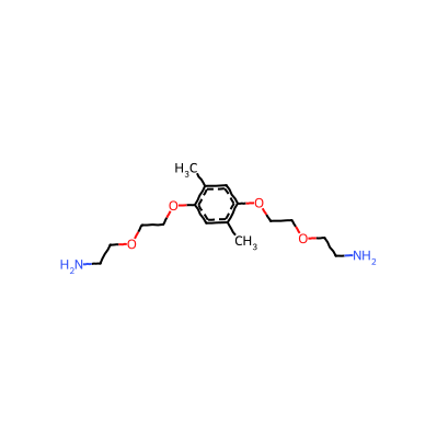 Cc1cc(OCCOCCN)c(C)cc1OCCOCCN